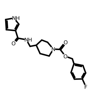 O=C(NCC1CCN(C(=O)OCc2ccc(F)cc2)CC1)c1cc[nH]c1